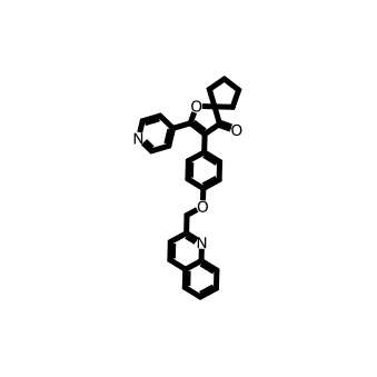 O=C1C(c2ccc(OCc3ccc4ccccc4n3)cc2)=C(c2ccncc2)OC12CCCC2